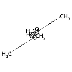 CCCCCCCCC=CCCCCCCCC(=O)OC(C)N(O)C(C)OC(=O)CCCCCCCC=CCCCCCCCC